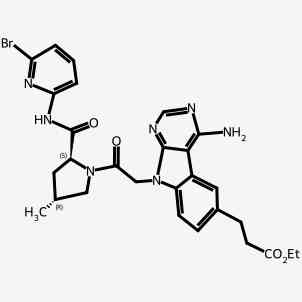 CCOC(=O)CCc1ccc2c(c1)c1c(N)ncnc1n2CC(=O)N1C[C@H](C)C[C@H]1C(=O)Nc1cccc(Br)n1